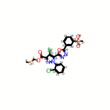 CSCOC(=O)c1nn(-c2ccccc2Cl)c(-c2nnc(-c3cccc(S(C)(=O)=O)c3)o2)c1Br